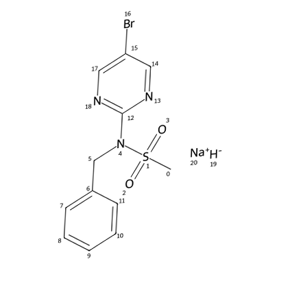 CS(=O)(=O)N(Cc1ccccc1)c1ncc(Br)cn1.[H-].[Na+]